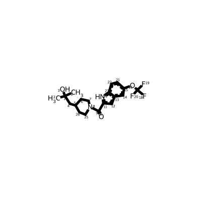 CC(C)(O)CC1CCN(C(=O)c2cc3cc(OC(F)(F)F)ccc3[nH]2)CC1